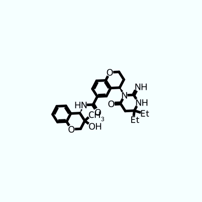 CCC1(CC)CC(=O)N([C@@H]2CCOc3ccc(C(=O)N[C@H]4c5ccccc5OCC4(C)O)cc32)C(=N)N1